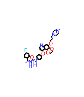 C[C@H](NC(=O)Nc1ccc(Oc2ccnc3cc(OCCCN4CCN(C)CC4)c4c(c23)OCCO4)cc1)c1ccc(F)cc1